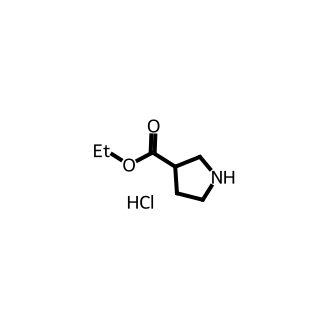 CCOC(=O)C1CCNC1.Cl